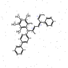 C\C=C/C(=C\C=C(/C)N(c1ccc(-c2ccccc2)cc1)c1c(C)c(O)c(O)c(O)c1O)c1ccccc1